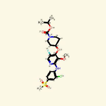 COc1c(Nc2ccc(S(C)(=O)=O)cc2Cl)ncc(F)c1OC1CCN(C(=O)OC(C)C)CC1